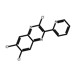 Clc1cc2nc(Cl)c(-c3ccccn3)nc2cc1Cl